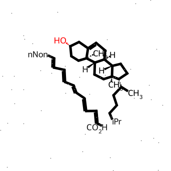 CC(C)CCCC(C)[C@H]1CC[C@H]2[C@@H]3CC=C4C[C@@H](O)CC[C@]4(C)[C@H]3CC[C@]12C.CCCCCCCCCC=CC=CC=CC=CC=CC(=O)O